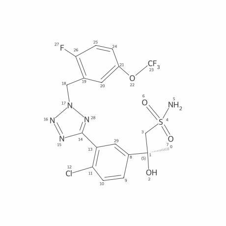 C[C@@](O)(CS(N)(=O)=O)c1ccc(Cl)c(-c2nnn(Cc3cc(OC(F)(F)F)ccc3F)n2)c1